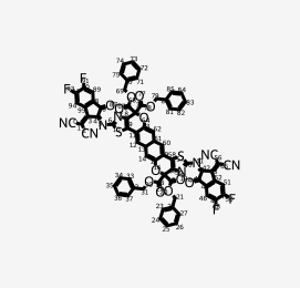 N#CC(C#N)=C1/C(=N/c2nc3c(s2)C2=CC4C=C5OC(C(=O)OCc6ccccc6)(C(=O)OCc6ccccc6)c6nc(/N=C7\C(=O)c8cc(F)c(F)cc8C7=C(C#N)C#N)sc6C5=CC4C=C2OC3(C(=O)OCc2ccccc2)C(=O)OCc2ccccc2)C(=O)c2cc(F)c(F)cc21